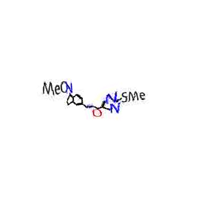 CON=C1CCc2cc(/C=C/C(=O)c3cnc(SC)nc3)ccc21